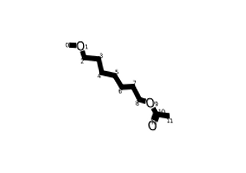 COCCCCCCCOC(C)=O